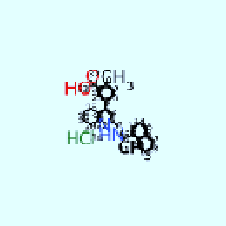 Cc1ccc(-c2cc(CNC(C)c3cccc4ccccc34)nc3c2CCCC3)cc1C(=O)O.Cl